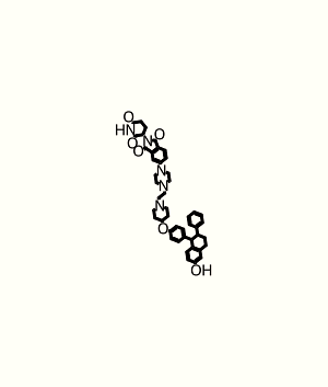 O=C1CCC(N2C(=O)c3ccc(N4CCN(CCN5CCC(Oc6ccc(C7c8ccc(O)cc8CCC7c7ccccc7)cc6)CC5)CC4)cc3C2=O)C(=O)N1